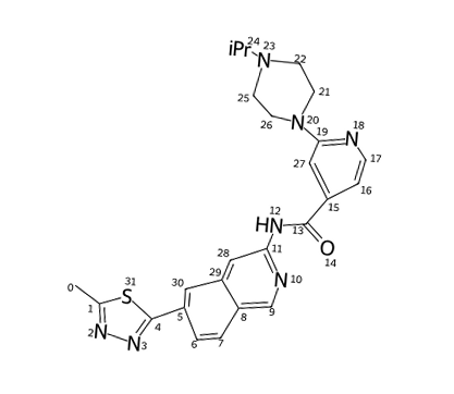 Cc1nnc(-c2ccc3cnc(NC(=O)c4ccnc(N5CCN(C(C)C)CC5)c4)cc3c2)s1